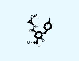 CCOC1CC1NC(=O)c1cc(C(=O)NC)c(=O)n(Cc2ccc(F)cc2)c1